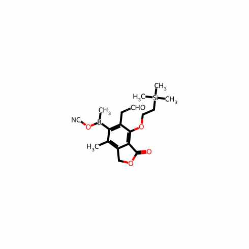 CB(OC#N)c1c(C)c2c(c(OCC[Si](C)(C)C)c1CC=O)C(=O)OC2